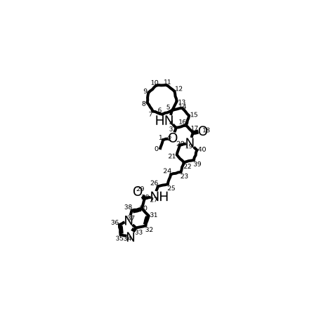 CCOC1NC2(CCCCCCCC2)CCC1C(=O)N1CCC(CCCCNC(=O)c2ccc3nccn3c2)CC1